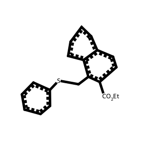 CCOC(=O)c1ccc2ccccc2c1CSc1ccccc1